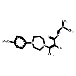 COc1ccc(N2CCCN(/C(C)=C(/C#N)C(=S)/N=C/N(C)C)CC2)cc1